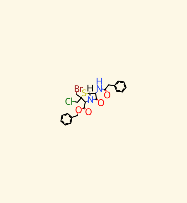 O=C(Cc1ccccc1)NC1C(=O)N2C(C(=O)OCc3ccccc3)C(CCl)(CBr)S[C@@H]12